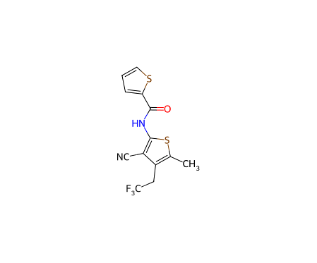 Cc1sc(NC(=O)c2cccs2)c(C#N)c1CC(F)(F)F